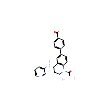 CC(=O)N1c2ccc(-c3ccc(C(=O)O)cc3)cc2[C@@H](Nc2cccnc2)C[C@H]1C